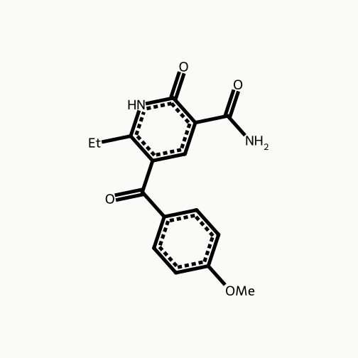 CCc1[nH]c(=O)c(C(N)=O)cc1C(=O)c1ccc(OC)cc1